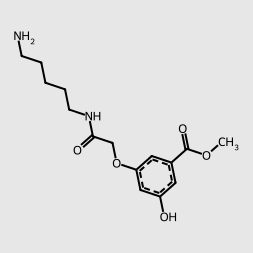 COC(=O)c1cc(O)cc(OCC(=O)NCCCCCN)c1